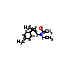 CCN(CC1CC1(C)C1CC=C(C)CC1)C(C)=O